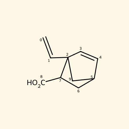 C=CC12C=CC(CC1C(=O)O)C2